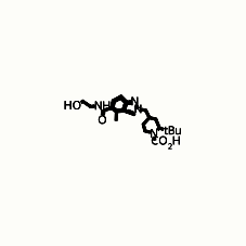 Cc1c(C(=O)NCCO)ccc2nn(CC3CCN(C(=O)O)C(C(C)(C)C)C3)cc12